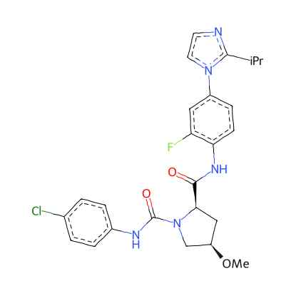 CO[C@@H]1C[C@H](C(=O)Nc2ccc(-n3ccnc3C(C)C)cc2F)N(C(=O)Nc2ccc(Cl)cc2)C1